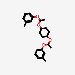 Cc1cccc(OC(C)OC2CCC(OC(C)Oc3cccc(C)c3)CC2)c1